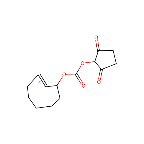 O=C(OC1/C=C/CCCCC1)OC1C(=O)CCC1=O